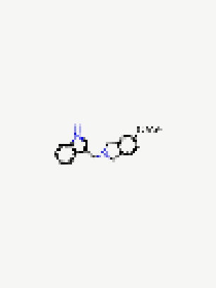 COc1ccc2c(c1)CN(Cc1c[nH]c3ccccc13)C2